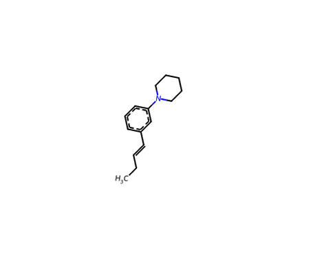 CCC=Cc1cccc(N2CCCCC2)c1